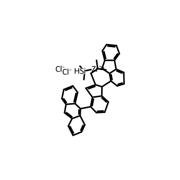 CC(C)CC1=Cc2c(-c3c4ccccc4cc4ccccc34)cccc2C1c1cccc2c1[CH]([Zr+2][SiH](C)C)c1ccccc1-2.[Cl-].[Cl-]